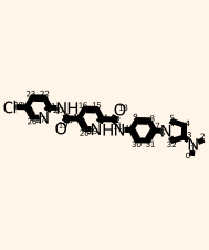 CN(C)C1CCN(c2ccc(NC(=O)c3ccc(C(=O)Nc4ccc(Cl)cn4)cn3)cc2)C1